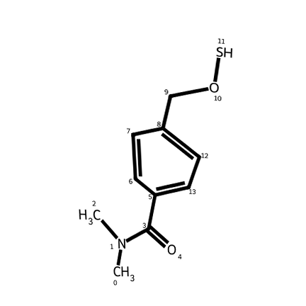 CN(C)C(=O)c1ccc(COS)cc1